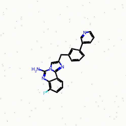 Nc1nc2c(F)cccc2c2nc(Cc3cccc(-c4cccnc4)c3)cn12